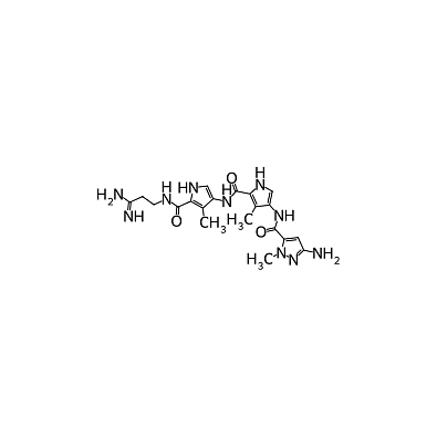 Cc1c(NC(=O)c2[nH]cc(NC(=O)c3cc(N)nn3C)c2C)c[nH]c1C(=O)NCCC(=N)N